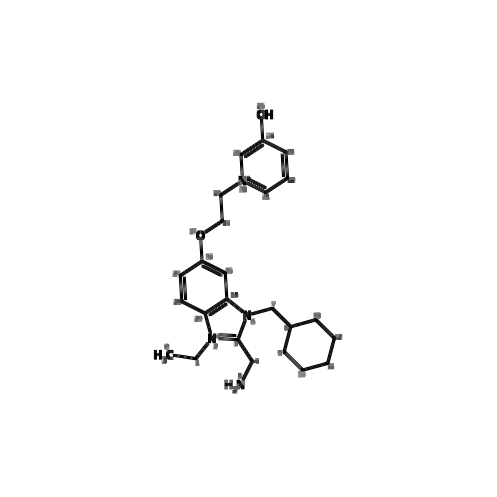 CC[n+]1c(CN)n(CC2CCCCC2)c2cc(OCC[n+]3cccc(O)c3)ccc21